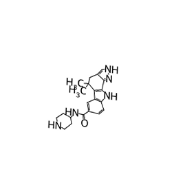 CC1(C)Cc2c[nH]nc2-c2[nH]c3ccc(C(=O)NC4CCNCC4)cc3c21